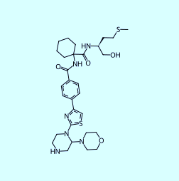 CSCC[C@@H](CO)NC(=O)C1(NC(=O)c2ccc(-c3csc(N4CCNCC4N4CCOCC4)n3)cc2)CCCCC1